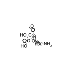 CCCCN(CCCCN)C(=O)CN1C[C@H](c2ccc3c(c2)CCO3)[C@@H](C(=O)O)[C@@H]1CCOc1ccccc1CO